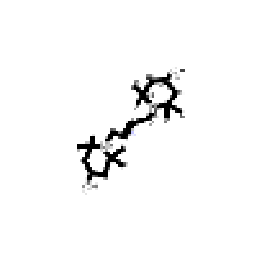 CC1(C)CC(O)CC(C)(C)N1C/C=C/CN1C(C)(C)CC(O)CC1(C)C